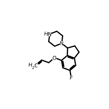 C=CCOc1cc(F)cc2c1C(N1CCNCC1)CC2